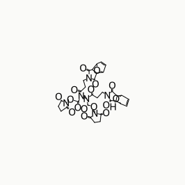 O=C1C2C3C=CC(O3)C2C(=O)N1CCC(=O)N(C(=O)ON1C(=O)CCC1=O)N(C(=O)CCN1C(=O)C2C3C=CC(O3)[C@H]2C1=O)C(=O)ON1C(=O)CCC1=O